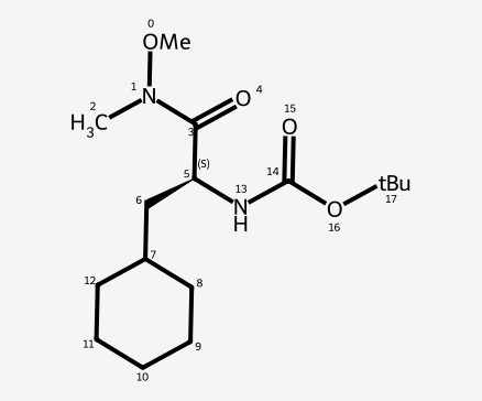 CON(C)C(=O)[C@H](CC1CCCCC1)NC(=O)OC(C)(C)C